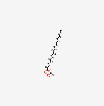 CCCCCCCCCCCCCCCCCCCC(O)OC(C)=O